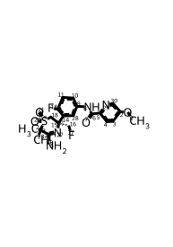 COc1ccc(C(=O)Nc2ccc(F)c([C@]3(CF)CS(=O)(=O)C(C)(C)C(N)=N3)c2)nc1